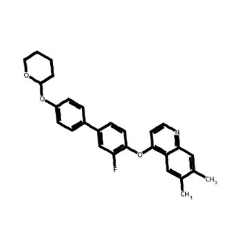 Cc1cc2nccc(Oc3ccc(-c4ccc(OC5CCCCO5)cc4)cc3F)c2cc1C